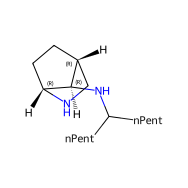 CCCCCC(CCCCC)N[C@@H]1[C@@H]2CC[C@H]1NC2